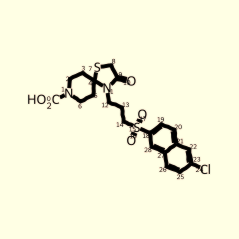 O=C(O)N1CCC2(CC1)SCC(=O)N2CCCS(=O)(=O)c1ccc2cc(Cl)ccc2c1